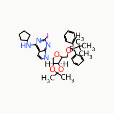 CC1(C)O[C@@H]2[C@H](O1)C(CO[Si](c1ccccc1)(c1ccccc1)C(C)(C)C)O[C@H]2n1ccc2c(NC3CCCC3)nc(I)nc21